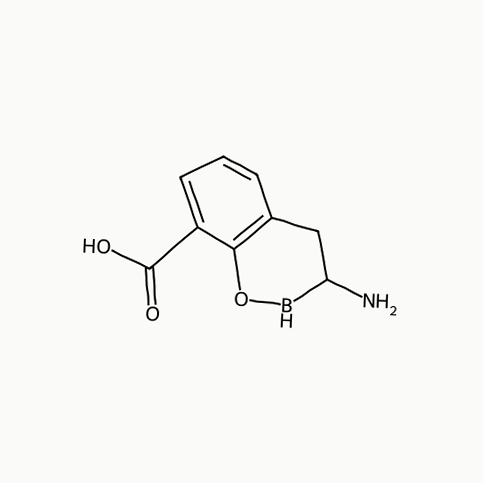 NC1BOc2c(cccc2C(=O)O)C1